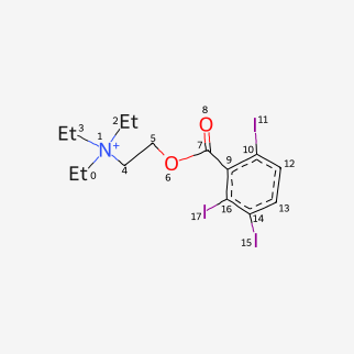 CC[N+](CC)(CC)CCOC(=O)c1c(I)ccc(I)c1I